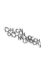 Cc1ncnc2c1c(-c1ccc(Oc3ccccc3)cc1)nn2C1CCCN(C(=O)OC(C)(C)C)C1